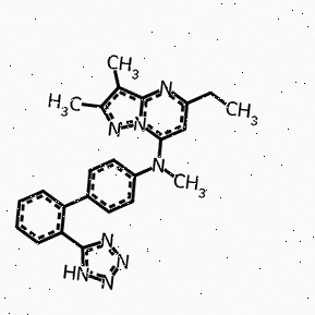 CCc1cc(N(C)c2ccc(-c3ccccc3-c3nnn[nH]3)cc2)n2nc(C)c(C)c2n1